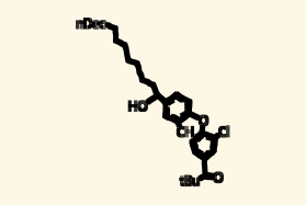 CCCCCCCCCCCCCCCCCC(O)c1ccc(Oc2ccc(C(=O)C(C)(C)C)cc2Cl)c(C)c1